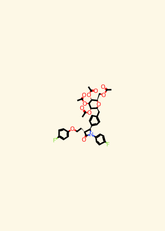 CC(=O)OC[C@H]1O[C@@H](Cc2ccc([C@@H]3[C@@H](CCOc4ccc(F)cc4)C(=O)N3c3ccc(F)cc3)cc2)[C@H](OC(C)=O)[C@@H](OC(C)=O)[C@@H]1OC(C)=O